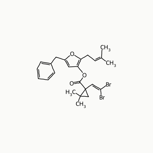 CC(C)=CCc1oc(Cc2ccccc2)cc1OC(=O)C1(C=C(Br)Br)CC1(C)C